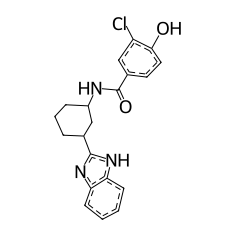 O=C(NC1CCCC(c2nc3ccccc3[nH]2)C1)c1ccc(O)c(Cl)c1